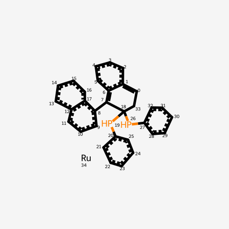 C1=c2ccccc2=C(c2cccc3ccccc23)C(Pc2ccccc2)(Pc2ccccc2)C1.[Ru]